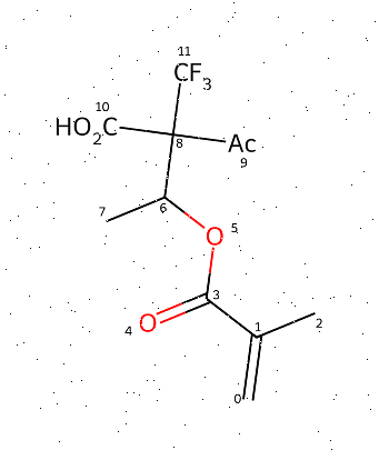 C=C(C)C(=O)OC(C)C(C(C)=O)(C(=O)O)C(F)(F)F